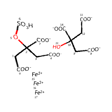 O=C([O-])CC(CC(=O)[O-])(OS(=O)(=O)O)C(=O)[O-].O=C([O-])CC(O)(CC(=O)[O-])C(=O)[O-].[Fe+2].[Fe+2].[Fe+2]